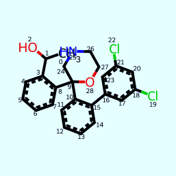 CC(O)c1ccccc1C1(c2ccccc2-c2cc(Cl)cc(Cl)c2)CNCCO1